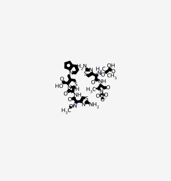 CO/N=C(\C(=O)N[C@@H]1C(=O)N2C(C(=O)O)=C(C[n+]3cccc4c3CCC4)CS[C@H]12)c1csc(N)n1.C[C@H]1[C@H](NC(=O)/C(=N\OC(C)(C)C(=O)O)c2csc(N)n2)C(=O)N1S(=O)(=O)[O-]